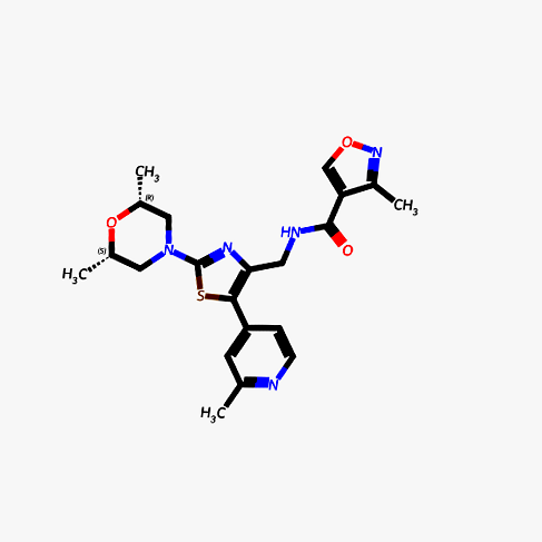 Cc1cc(-c2sc(N3C[C@@H](C)O[C@@H](C)C3)nc2CNC(=O)c2conc2C)ccn1